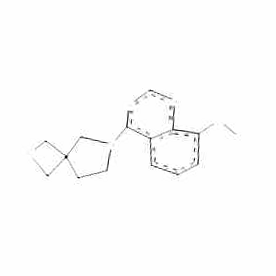 COc1cccc2c(N3CCC4(CNC4)C3)ncnc12